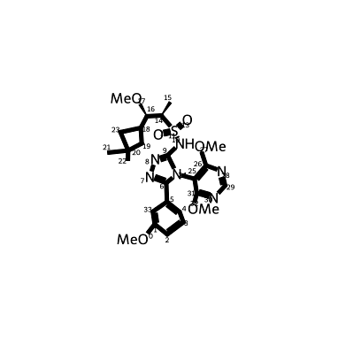 COc1cccc(-c2nnc(NS(=O)(=O)[C@H](C)[C@H](OC)C3CC(C)(C)C3)n2-c2c(OC)ncnc2OC)c1